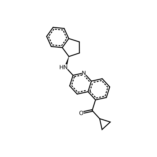 O=C(c1cccc2nc(N[C@@H]3CCc4ccccc43)ccc12)C1CC1